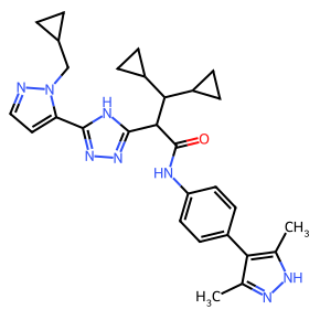 Cc1n[nH]c(C)c1-c1ccc(NC(=O)C(c2nnc(-c3ccnn3CC3CC3)[nH]2)C(C2CC2)C2CC2)cc1